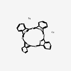 [Cu].[Fe].c1ccc2c(c1)-c1nc-2nc2[nH]c(nc3nc(nc4[nH]c(n1)c1ccccc41)-c1ccccc1-3)c1ccccc21